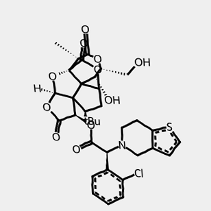 C[C@@H]1C(=O)O[C@H](CO)[C@H](O)C23C4C[C@@H](C(C)(C)C)C25[C@@H](OC(=O)[C@@H]5OC(=O)[C@H](c2ccccc2Cl)N2CCc5sccc5C2)O[C@@]13C(=O)O4